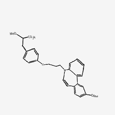 COc1ccc2c(c1)-c1ccccc1N(CCCOc1ccc(CC(OC)C(=O)O)cc1)C=C2